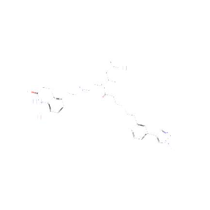 CC(C)[C@@H](C)CC(C)N(CCNCCc1ccc(O)c2c1OCC(=O)N2)C(=O)CCOCCc1cccc(-c2cnn(C)c2)c1